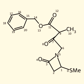 CSC1CC(=O)N1CC(=O)C(C)C(=O)OCc1ccccc1